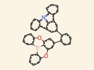 c1ccc2c(c1)Oc1cc(-c3ccccc3-c3cc4c5ccccc5n5c6ccccc6c(c3)c45)cc3c1B2c1ccccc1O3